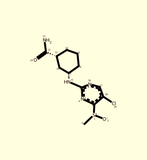 C[S+]([O-])c1nc(N[C@H]2CCC[C@@H](C(N)=O)C2)ncc1Cl